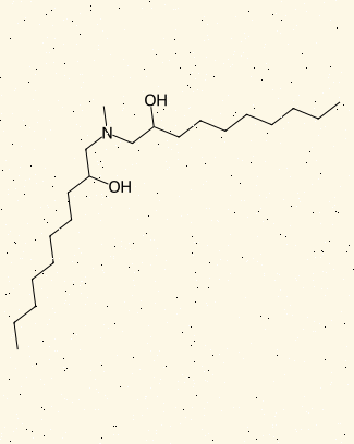 CCCCCCCCC(O)CN(C)CC(O)CCCCCCCC